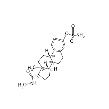 CNC(=O)[C@H]1CC[C@H]2[C@@H]3CCc4cc(OS(N)(=O)=O)ccc4[C@H]3CC[C@]12C